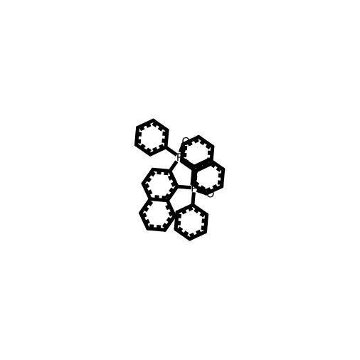 O=P(c1ccccc1)(c1ccccc1)c1ccc2ccccc2c1P(=O)(c1ccccc1)c1ccccc1